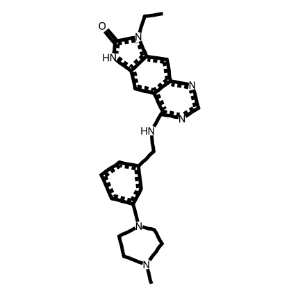 CCn1c(=O)[nH]c2cc3c(NCc4cccc(N5CCN(C)CC5)c4)ncnc3cc21